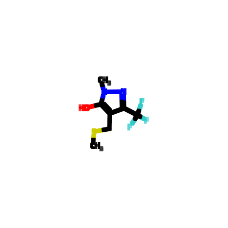 CSCc1c(C(F)(F)F)nn(C)c1O